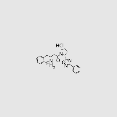 Cl.N[C@@H](CC(=O)N1CCC[C@@H]1c1nc(-c2ccccc2)no1)Cc1ccccc1F